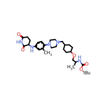 Cc1cc(NC2CCC(=O)NC2=O)ccc1N1CCN(CC2CCC(OCC(C)NC(=O)OC(C)(C)C)CC2)CC1